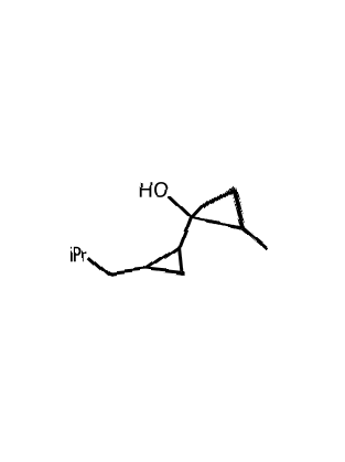 CC(C)CC1CC1C1(O)CC1C